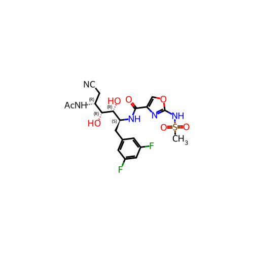 CC(=O)N[C@H](CC#N)[C@@H](O)[C@H](O)[C@H](Cc1cc(F)cc(F)c1)NC(=O)c1coc(NS(C)(=O)=O)n1